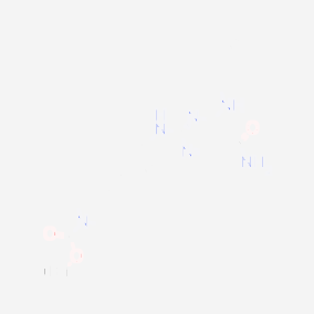 CC(C)(C)OC(=O)N1CCC(c2ccc(Nc3ncc(C(N)=O)c(NCc4ccccc4)n3)cc2)CC1